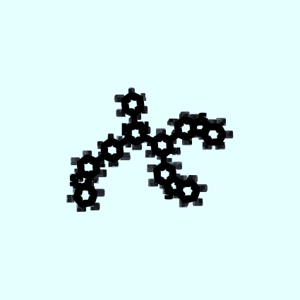 c1ccc(-c2nc(-c3ccc(-c4ccc5sc6ccccc6c5c4)cc3)cc(-c3cc(-c4ccc5sc6ccccc6c5c4)cc(-c4ccc5sc6ccccc6c5c4)c3)n2)cc1